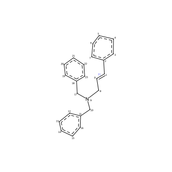 C(=C\c1ccccc1)/CN(Cc1ccccc1)Cc1ccccc1